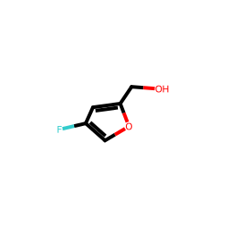 OCc1cc(F)co1